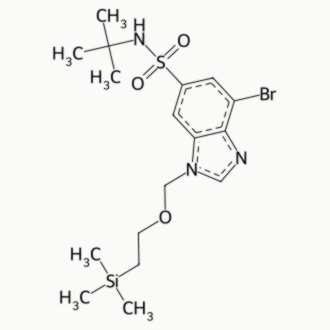 CC(C)(C)NS(=O)(=O)c1cc(Br)c2ncn(COCC[Si](C)(C)C)c2c1